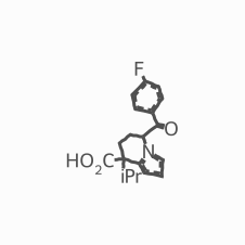 CC(C)C1(C(=O)O)CCC(C(=O)c2ccc(F)cc2)n2cccc21